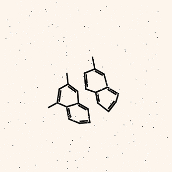 Cc1cc(C)c2ccccc2c1.Cc1ccc2ccccc2c1